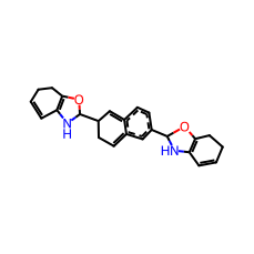 C1=CC2=C(CC1)OC(c1ccc3c(c1)=CCC(C1NC4=C(CCC=C4)O1)C=3)N2